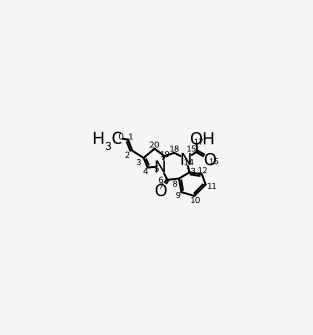 C/C=C/C1=CN2C(=O)c3ccccc3N(C(=O)O)CC2C1